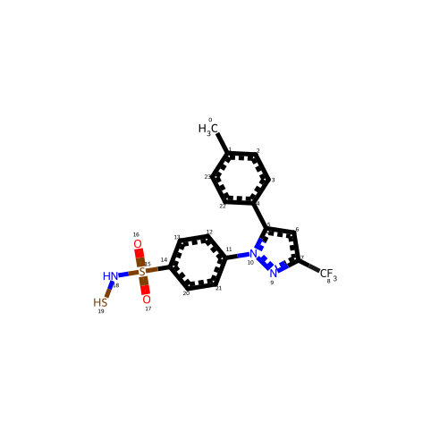 Cc1ccc(-c2cc(C(F)(F)F)nn2-c2ccc(S(=O)(=O)NS)cc2)cc1